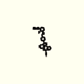 CC#CC(=O)N1CCCC1c1nc(-c2ccc(COc3cccc(OC)c3F)cc2)c2cnccn12